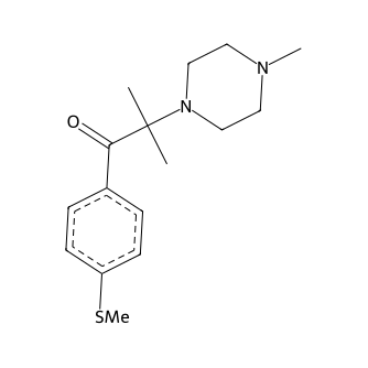 CSc1ccc(C(=O)C(C)(C)N2CCN(C)CC2)cc1